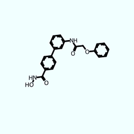 O=C(COc1ccccc1)Nc1cccc(-c2ccc(C(=O)NO)cc2)c1